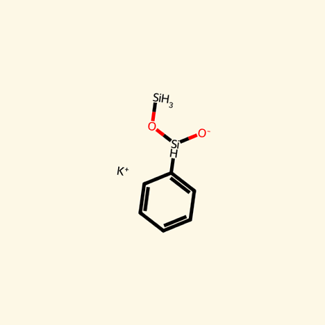 [K+].[O-][SiH](O[SiH3])c1ccccc1